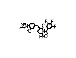 COc1cc(C=C2CC[C@H]3COCC(c4cc(F)c(F)c(F)c4)N3C2=O)ccc1-n1cnc(C)c1